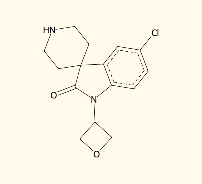 O=C1N(C2COC2)c2ccc(Cl)cc2C12CCNCC2